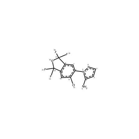 Nc1ccnn1-c1cc2c(cc1Cl)C(F)(F)OC2(F)F